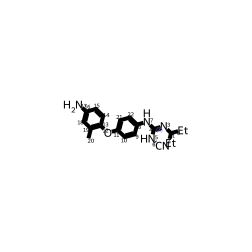 CCC(CC)/N=C(\NC#N)Nc1ccc(Oc2ccc(N)cc2C)cc1